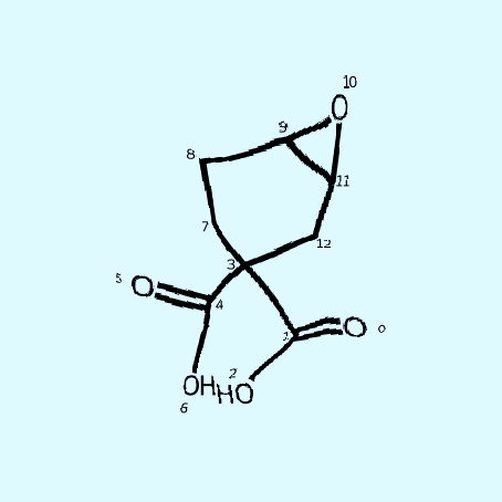 O=C(O)C1(C(=O)O)CCC2OC2C1